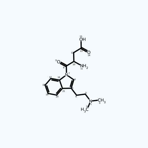 CN(C)CCc1cn(C(=O)C(N)CC(=O)O)c2ccccc12